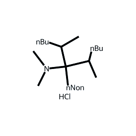 CCCCCCCCCC(C(C)CCCC)(C(C)CCCC)N(C)C.Cl